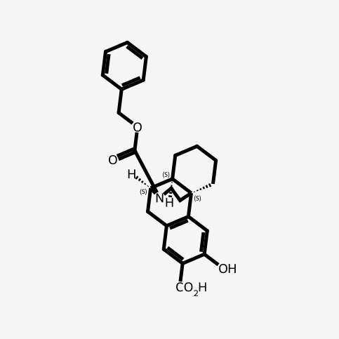 O=C(O)c1cc2c(cc1O)[C@]13CCCC[C@@H]1[C@H](C2)N(C(=O)OCc1ccccc1)CC3